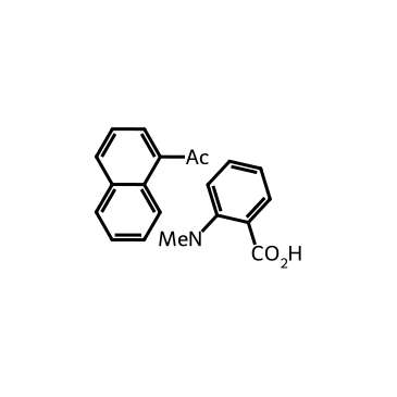 CC(=O)c1cccc2ccccc12.CNc1ccccc1C(=O)O